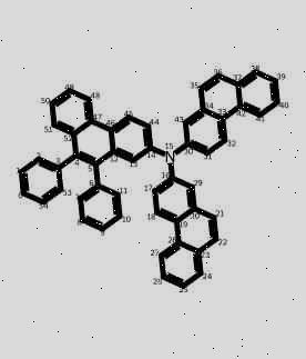 c1ccc(-c2c(-c3ccccc3)c3cc(N(c4ccc5c(ccc6ccccc65)c4)c4ccc5c(ccc6ccccc65)c4)ccc3c3ccccc23)cc1